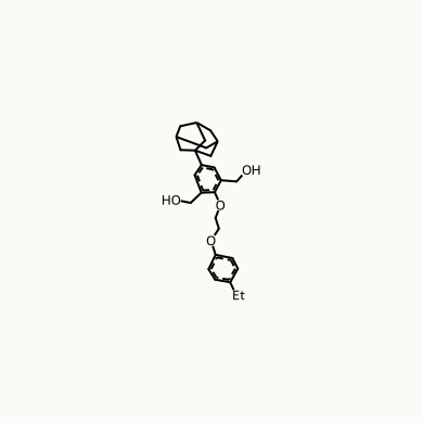 CCc1ccc(OCCOc2c(CO)cc(C34CC5CC(CC(C5)C3)C4)cc2CO)cc1